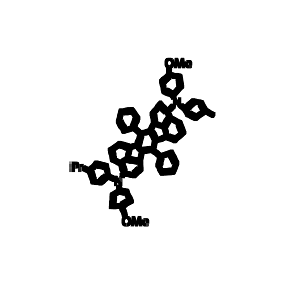 COc1ccc(N(c2ccc(C)cc2)c2ccc3c4c(-c5ccccc5)c5c6cccc7c(N(c8ccc(OC)cc8)c8ccc(C(C)C)cc8)ccc(c5c(-c5ccccc5)c4c4cccc2c43)c76)cc1